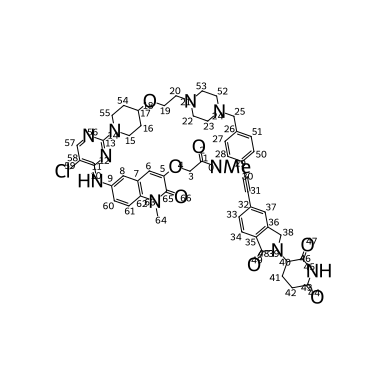 CNC(=O)COc1cc2cc(Nc3nc(N4CCC(OCCN5CCN(Cc6ccc(C#Cc7ccc8c(c7)CN(C7CCC(=O)NC7=O)C8=O)cc6)CC5)CC4)ncc3Cl)ccc2n(C)c1=O